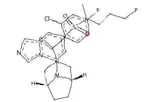 CN(CCCF)S(=O)(=O)c1cc(N2[C@@H]3CC[C@H]2CN(C(=O)c2ccc(F)cc2Cl)C3)n2cncc2c1